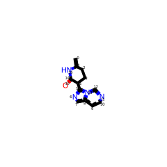 C=C1CCC(c2ncc3ccncn23)C(=O)N1